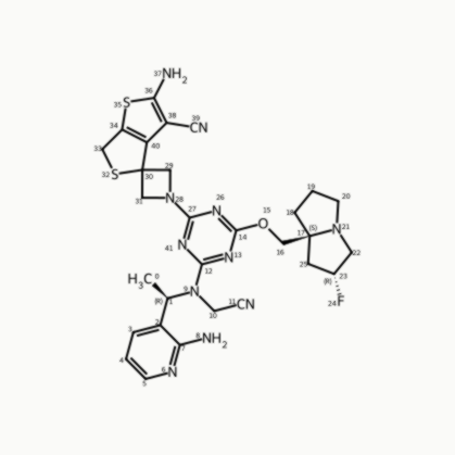 C[C@H](c1cccnc1N)N(CC#N)c1nc(OC[C@@]23CCCN2C[C@H](F)C3)nc(N2CC3(C2)SCc2sc(N)c(C#N)c23)n1